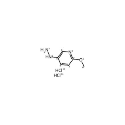 COc1ccc(NN)cn1.Cl.Cl